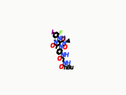 CCCCC(=O)NCCC(=O)Nc1cccc(-n2c(=O)n(C3CC3)c(=O)c3c(Nc4ccc(I)cc4F)n(C)c(=O)c(C)c32)c1